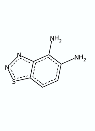 Nc1ccc2snnc2c1N